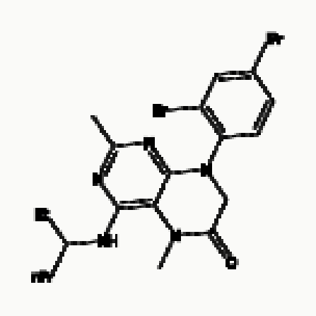 CCCC(CC)Nc1nc(C)nc2c1N(C)C(=O)CN2c1ccc(C(C)C)cc1Br